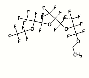 CCOC(F)(F)C(F)(OC(F)(F)C(F)(OC(F)(F)C(F)(OC(F)(F)C(F)(F)F)C(F)(F)F)C(F)(F)F)C(F)(F)F